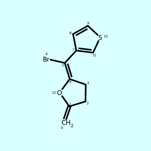 C=C1CC/C(=C(/Br)c2ccsc2)O1